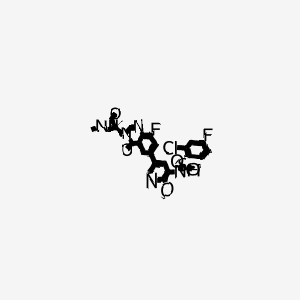 CNC[C@@](C)(C=O)Cn1cnc2c(F)cc(-c3cnc(OC)c(NS(=O)(=O)c4ccc(F)cc4Cl)c3)cc2c1=O